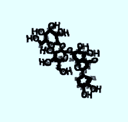 O=c1cc(-c2ccc(O)c(O)c2)oc2cc(OC3OC(CO)C(O)C(O)C3OC3OC(CO)C(O)C(O)C3O)c(O)c(O)c12